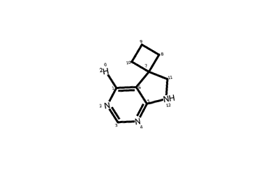 [2H]c1ncnc2c1C1(CCC1)CN2